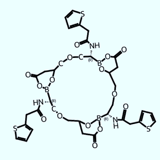 O=C(Cc1cccs1)N[C@H]1COCC2CC(=O)OB(O2)[C@@H](NC(=O)Cc2cccs2)COCC2CC(=O)OB(O2)[C@@H](NC(=O)Cc2cccs2)COCC2CC(=O)OB1O2